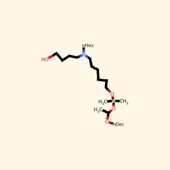 CCCCCCCCCCOC(C)O[Si](C)(C)OCCCCCCN(CCCCO)CCCCCC